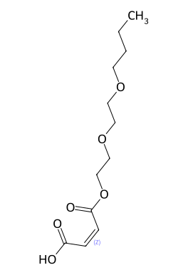 CCCCOCCOCCOC(=O)/C=C\C(=O)O